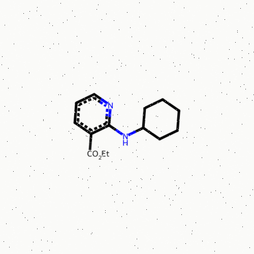 CCOC(=O)c1cccnc1NC1CCCCC1